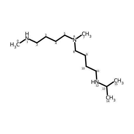 CNCCCCN(C)CCCCNC(C)C